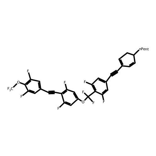 CCCCCC1C=CC(C#Cc2cc(F)c(C(F)(F)Oc3cc(F)c(C#Cc4cc(F)c(OC(F)(F)F)c(F)c4)c(F)c3)c(F)c2)=CC1